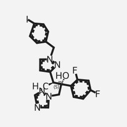 C[C@@H](c1ccn(Cc2ccc(I)cc2)n1)[C@](O)(Cn1cncn1)c1ccc(F)cc1F